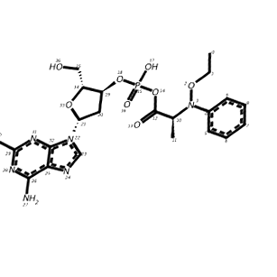 CCON(c1ccccc1)[C@@H](C)C(=O)OP(=O)(O)O[C@H]1C[C@H](n2cnc3c(N)nc(Cl)nc32)O[C@@H]1CO